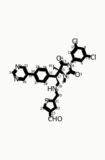 CN1C(=O)N(c2cc(Cl)cc(Cl)c2)C(=O)[C@@]1(I)[C@@H](CNCC1CC(C=O)=CS1)c1ccc(-c2cncnc2)cc1